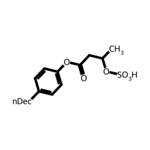 CCCCCCCCCCc1ccc(OC(=O)CC(C)OS(=O)(=O)O)cc1